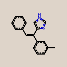 Cc1cccc(/C(=C/c2ccccc2)c2c[nH]cn2)c1